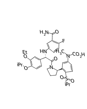 CCOc1cc([C@H](Nc2ccc(F)c(C(N)=O)c2)C(=O)N2CCC[C@@H]2c2cc(N(C)C(=O)O)ccc2S(=O)(=O)C(C)C)ccc1OC(C)C